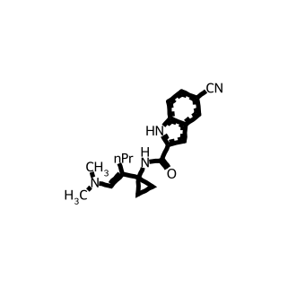 CCC/C(=C\N(C)C)C1(NC(=O)c2cc3cc(C#N)ccc3[nH]2)CC1